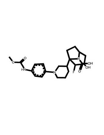 COC(=O)Nc1ccc(N2CCCC(C34CCC(CC(O)C3F)N4C(=O)O)C2)cc1